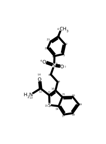 Cc1ccc(S(=O)(=O)CCc2c(C(N)=O)sc3ccccc23)cc1